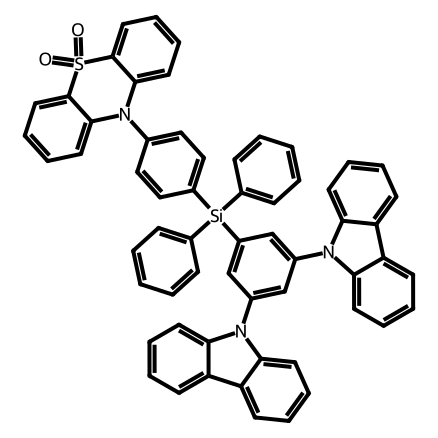 O=S1(=O)c2ccccc2N(c2ccc([Si](c3ccccc3)(c3ccccc3)c3cc(-n4c5ccccc5c5ccccc54)cc(-n4c5ccccc5c5ccccc54)c3)cc2)c2ccccc21